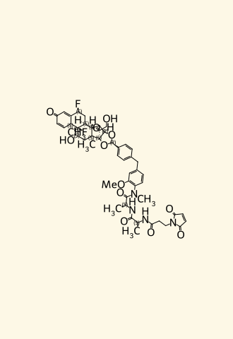 COc1cc(Cc2ccc([C@@H]3O[C@@H]4C[C@H]5[C@@H]6C[C@H](F)C7=CC(=O)C=C[C@]7(C)[C@@]6(F)[C@@H](O)C[C@]5(C)[C@]4(C(=O)CO)O3)cc2)ccc1N(C)C(=O)[C@H](C)NC(=O)[C@H](C)NC(=O)CCN1C(=O)C=CC1=O